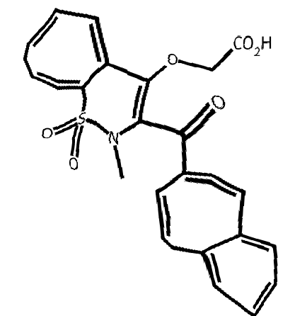 CN1C(C(=O)c2ccc3ccccc3c2)=C(OCC(=O)O)c2ccccc2S1(=O)=O